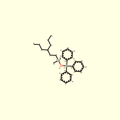 CCCC(CCC)CC[Si](C)(C)O[Si](c1ccccc1)(c1ccccc1)c1ccccc1